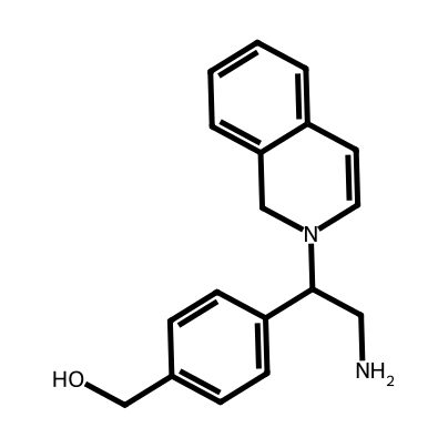 NCC(c1ccc(CO)cc1)N1C=Cc2ccccc2C1